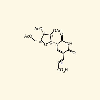 CC(=O)OC[C@H]1O[C@@H](n2cc(/C=C/C(=O)O)c(=O)[nH]c2=O)[C@H](OC(C)=O)[C@H]1OC(C)=O